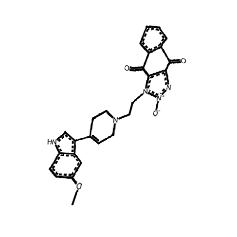 COc1ccc2[nH]cc(C3=CCN(CCn4c5c(n[n+]4[O-])C(=O)c4ccccc4C5=O)CC3)c2c1